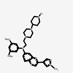 COc1cc(OC)cc(N(CCN2CCN(C3CCN(C(C)=O)CC3)CC2)c2ccc3ncc(-c4cnn(C)c4)nc3c2)c1